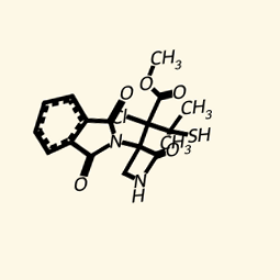 COC(=O)C(Cl)(C(C)(C)S)C1(N2C(=O)c3ccccc3C2=O)CNC1=O